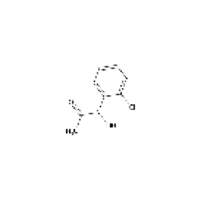 CC(=O)N(O)c1ccccc1Cl